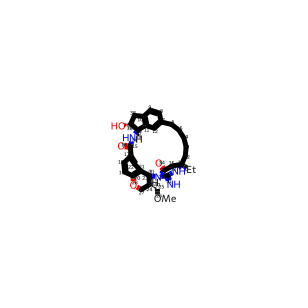 CCC12CCCCCc3ccc4c(c3)[C@@H](NC(=O)c3ccc5c(c3)[C@@H]([C@H](COC)CO5)N(C(=N)N1)C(=O)C2)[C@H](O)C4